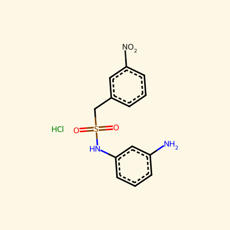 Cl.Nc1cccc(NS(=O)(=O)Cc2cccc([N+](=O)[O-])c2)c1